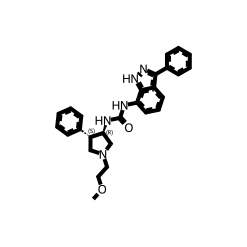 COCCN1C[C@H](NC(=O)Nc2cccc3c(-c4ccccc4)n[nH]c23)[C@@H](c2ccccc2)C1